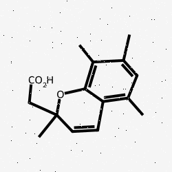 Cc1cc(C)c2c(c1C)OC(C)(CC(=O)O)C=C2